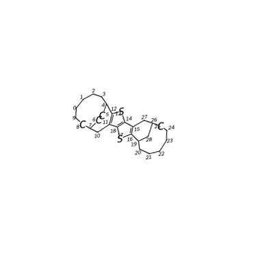 C1CCCC2CCC(CC1)Cc1c2sc2c3c(sc12)C1CCCCCCC(C3)C1